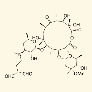 CC[C@H]1OC(=O)[C@H](C)[C@@H](O[C@H]2C[C@@](C)(OC)[C@@H](O)[C@H](C)O2)[C@H](C)[C@@H](O[C@@H]2O[C@H](C)C[C@H](N(C)CCC(C=O)C=O)[C@H]2O)[C@](C)(O)C[C@@H](C)C(=O)[C@H](C)[C@@H](O)[C@]1(C)O